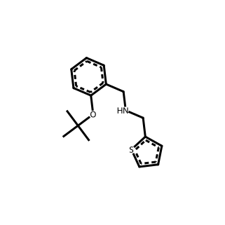 CC(C)(C)Oc1ccccc1CNCc1cccs1